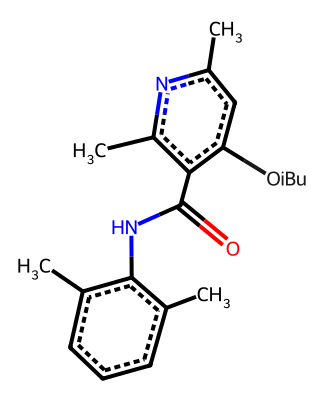 Cc1cc(OCC(C)C)c(C(=O)Nc2c(C)cccc2C)c(C)n1